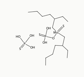 CCCCC(CC)[CH2][Mo](=[S])([CH2]C(CC)CCCC)[O]P(O)(O)=S.OP(O)(O)=S